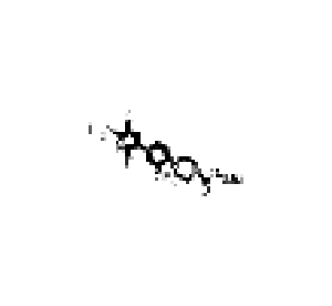 CC(C)(C)OC(=O)N1CCN(c2ccc(-c3cc(Cl)c(N)nc3F)cc2C(F)(F)F)CC1